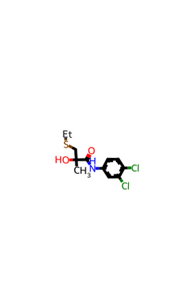 CCSCC(C)(O)C(=O)Nc1ccc(Cl)c(Cl)c1